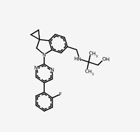 CC(C)(CO)NCc1ccc2c(c1)N(c1ncc(-c3ccccc3F)cn1)CC21CC1